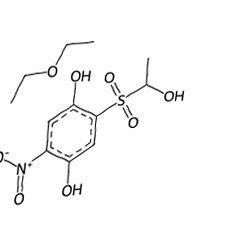 CC(O)S(=O)(=O)c1cc(O)c([N+](=O)[O-])cc1O.CCOCC